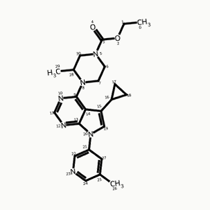 CCOC(=O)N1CCN(c2ncnc3c2c(C2CC2)cn3-c2cncc(C)c2)C(C)C1